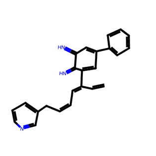 C=C/C(=C\C=C/Cc1cccnc1)C1=CC(c2ccccc2)=CC(=N)C1=N